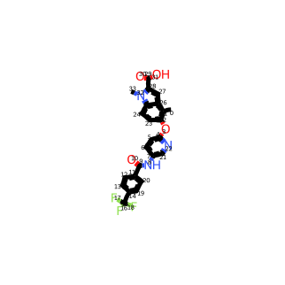 Cc1c(Oc2ccc(NC(=O)c3ccc(C(F)(F)F)cc3)cn2)ccc2c1cc(C(=O)O)n2C